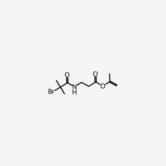 C=C(C)OC(=O)CCNC(=O)C(C)(C)Br